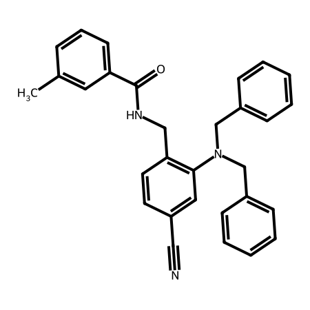 Cc1cccc(C(=O)NCc2ccc(C#N)cc2N(Cc2ccccc2)Cc2ccccc2)c1